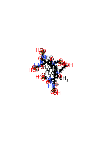 COc1cc(-c2cc(C(=O)NCCS(=O)(=O)O)nc(C(=O)NCCS(=O)(=O)O)c2)cc2c1N(CCCCCC(=O)O)/C(=C/C=C/C1=[N+](CCCS(=O)(=O)O)c3c(OC)cc(-c4cc(C(=O)NCCS(=O)(=O)O)nc(C(=O)NCCS(=O)(=O)O)c4)cc3C1(C)C)C2(C)C